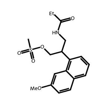 CCC(=O)NCC(COS(C)(=O)=O)c1cccc2ccc(OC)cc12